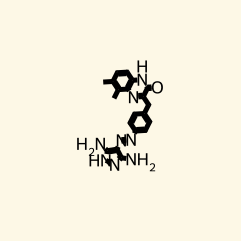 Cc1ccc2[nH]c(=O)c(Cc3ccc(N=Nc4c(N)n[nH]c4N)cc3)nc2c1C